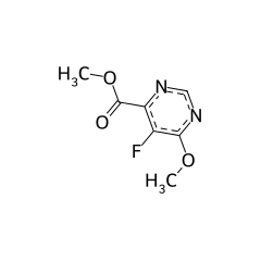 COC(=O)c1ncnc(OC)c1F